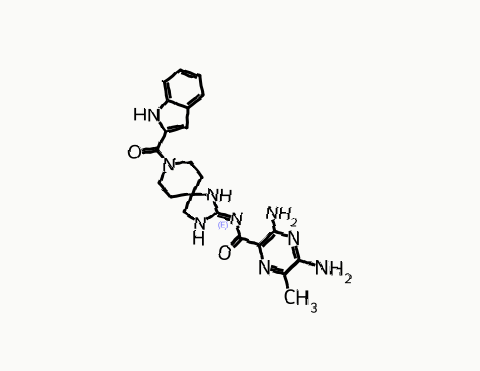 Cc1nc(C(=O)/N=C2\NCC3(CCN(C(=O)c4cc5ccccc5[nH]4)CC3)N2)c(N)nc1N